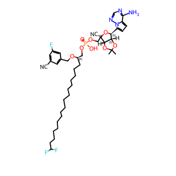 CC1(C)O[C@H]2[C@H](c3ccc4c(N)ncnn34)O[C@](C#N)(COP(=O)(O)OC[C@@H](CCCCCCCCCCCCCCCCC(F)F)OCc3cc(F)cc(C#N)c3)[C@H]2O1